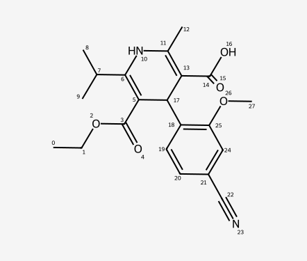 CCOC(=O)C1=C(C(C)C)NC(C)=C(C(=O)O)C1c1ccc(C#N)cc1OC